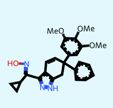 COc1cc(C2(c3ccccc3)C=Cc3c(C(=NO)C4CC4)n[nH]c3C2)cc(OC)c1OC